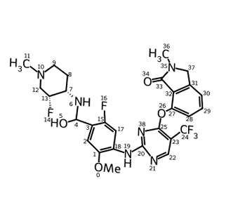 COc1cc(C(O)N[C@H]2CCN(C)C[C@H]2F)c(F)cc1Nc1ncc(C(F)(F)F)c(Oc2cccc3c2C(=O)N(C)C3)n1